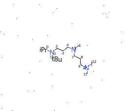 CC(C)N(CCCN(C)CCCN(C)I)C(C)(C)C